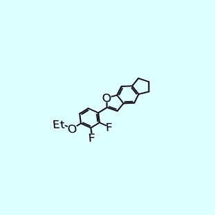 CCOc1ccc(-c2cc3cc4c(cc3o2)CCC4)c(F)c1F